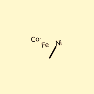 [CH3][Ni].[Co].[Fe]